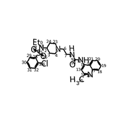 CCN(C1CCN(CCNC(=O)Nc2cc(C)nc3ccccc23)CC1)S(=O)(=O)c1ccccc1Cl